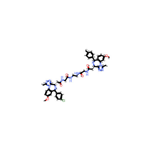 COc1ccc2c(c1)C(c1ccc(Cl)cc1)=N[C@@H](CC(=O)NCC(=O)NCCNC(=O)CNC(=O)C[C@H]1N=C(c3ccc(C)cc3)c3ccc(OC)cc3-n3c(C)nnc31)c1nnc(C)n1-2